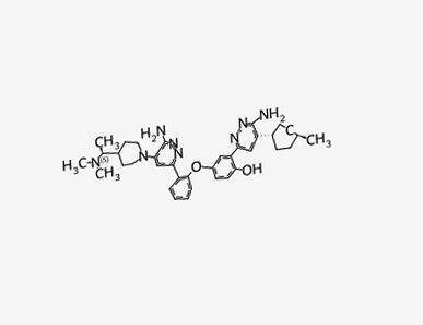 C[C@@H](C1CCN(c2cc(-c3ccccc3Oc3ccc(O)c(-c4cc([C@H]5CC[C@H](C)CC5)c(N)nn4)c3)nnc2N)CC1)N(C)C